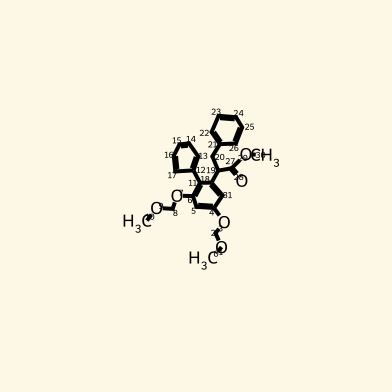 COCOc1cc(OCOC)c(-c2ccccc2)c(C(Cc2ccccc2)C(=O)OC)c1